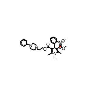 COC(=O)C1=C(C)NC(C)=C(C(=O)OCCN2CCN(c3ccccc3)CC2)C1c1ccccc1[N+](=O)[O-]